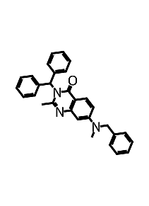 Cc1nc2cc(N(C)Cc3ccccc3)ccc2c(=O)n1C(c1ccccc1)c1ccccc1